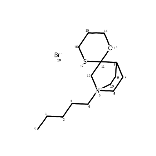 CCCCC[N+]12CCC(CC1)C1(C2)OCCCS1.[Br-]